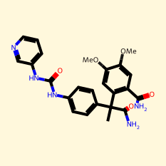 COc1cc(C(N)=O)c(C(C)(C(N)=O)c2ccc(NC(=O)Nc3cccnc3)cc2)cc1OC